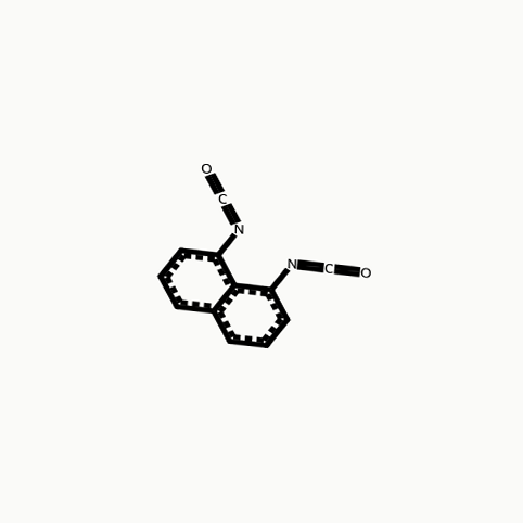 O=C=Nc1cccc2cccc(N=C=O)c12